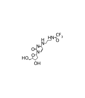 O=C(NCCCNc1ccn([C@H]2C[C@H](O)[C@@H](CO)O2)c(=O)n1)C(F)(F)F